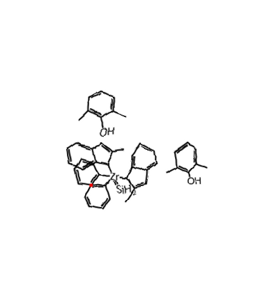 CC1=Cc2ccccc2[CH]1[Zr](=[SiH2])([c]1ccccc1)([c]1ccccc1)[CH]1C(C)=Cc2ccccc21.Cc1cccc(C)c1O.Cc1cccc(C)c1O